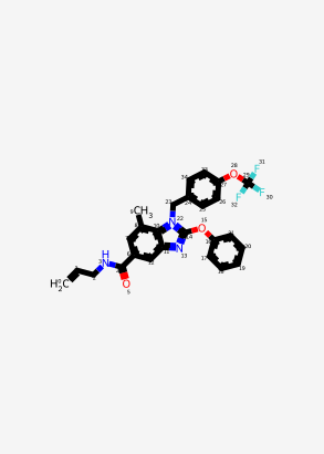 C=CCNC(=O)c1cc(C)c2c(c1)nc(Oc1ccccc1)n2Cc1ccc(OC(F)(F)F)cc1